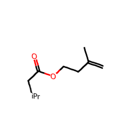 C=C(C)CCOC(=O)CC(C)C